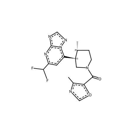 Cc1ncoc1C(=O)N1CC[C@@H](C)[C@H](c2cc(C(F)F)nc3ncnn23)C1